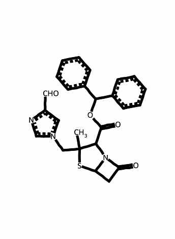 CC1(Cn2cnc(C=O)c2)SC2CC(=O)N2C1C(=O)OC(c1ccccc1)c1ccccc1